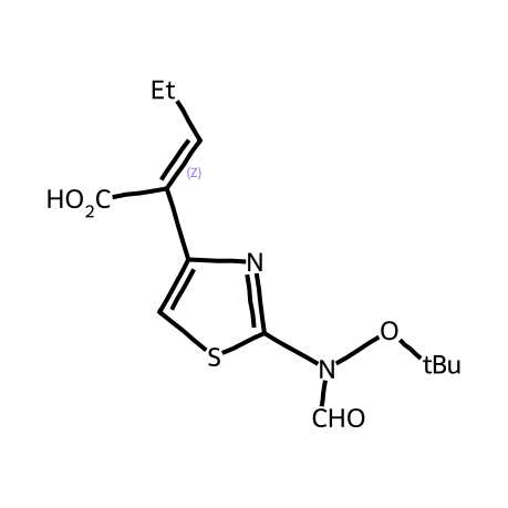 CC/C=C(\C(=O)O)c1csc(N(C=O)OC(C)(C)C)n1